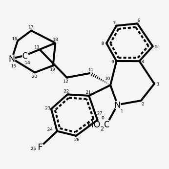 O=C(O)N1CCc2ccccc2[C@]1(CCC1CN2CCC1CC2)c1ccc(F)cc1